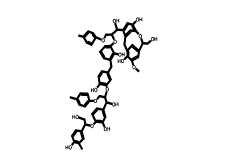 COc1cc2cc(c1O)Cc1cc(c(O)cc1C(O)C(COc1ccc(C)cc1)Oc1cccc(Cc3ccc(O)c(OC(COc4ccc(C)cc4)C(O)c4ccc(OC(CO)c5ccc(O)c(C)c5)c(O)c4)c3)c1O)OC2CO